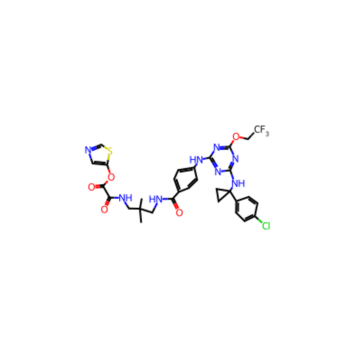 CC(C)(CNC(=O)C(=O)Oc1cncs1)CNC(=O)c1ccc(Nc2nc(NC3(c4ccc(Cl)cc4)CC3)nc(OCC(F)(F)F)n2)cc1